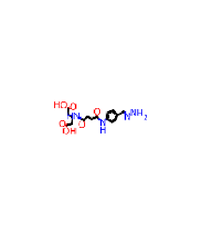 NN=Cc1ccc(NC(=O)CCC(=O)NC(CC(=O)O)CC(=O)O)cc1